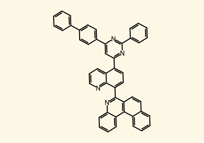 c1ccc(-c2ccc(-c3cc(-c4ccc(-c5nc6ccccc6c6c5ccc5ccccc56)c5ncccc45)nc(-c4ccccc4)n3)cc2)cc1